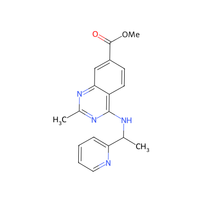 COC(=O)c1ccc2c(NC(C)c3ccccn3)nc(C)nc2c1